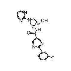 O=C(N[C@@H]1CN(c2ncccn2)C[C@@H]1O)c1cnc(-c2cccc(F)c2)nc1